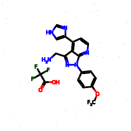 NCc1nn(-c2ccc(OC(F)(F)F)cc2)c2nccc(-c3c[nH]cn3)c12.O=C(O)C(F)(F)F